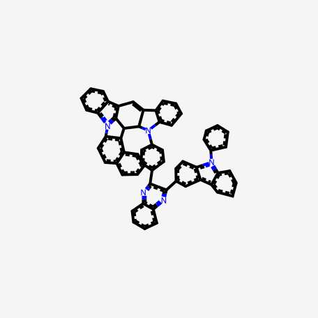 C1=C2c3ccccc3N(c3ccc(-c4nc5ccccc5nc4-c4ccc5c(c4)c4ccccc4n5-c4ccccc4)cc3)C2C2c3c(ccc4ccccc34)-n3c2c1c1ccccc13